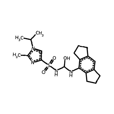 Cc1nc(S(=O)(=O)NC(O)Nc2c3c(cc4c2CCC4)CCC3)cn1C(C)C